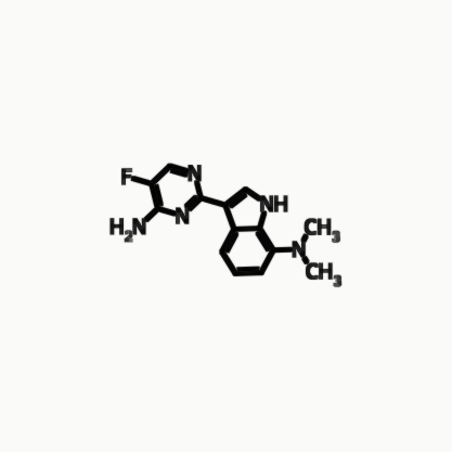 CN(C)c1cccc2c(-c3ncc(F)c(N)n3)c[nH]c12